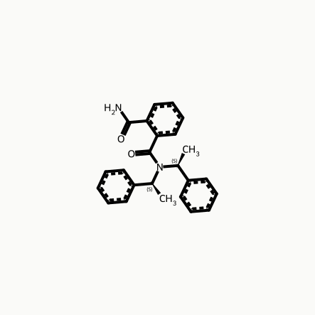 C[C@@H](c1ccccc1)N(C(=O)c1ccccc1C(N)=O)[C@@H](C)c1ccccc1